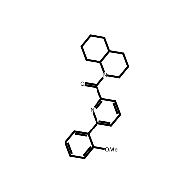 COc1ccccc1-c1cccc(C(=O)N2CCCC3CCCCC32)n1